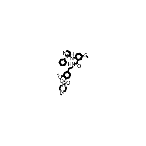 COc1cc(CCNC(=O)c2cc(SC)ccc2Nc2ccnn2-c2ccccc2)ccc1S(=O)(=O)N1CCN(C)CC1